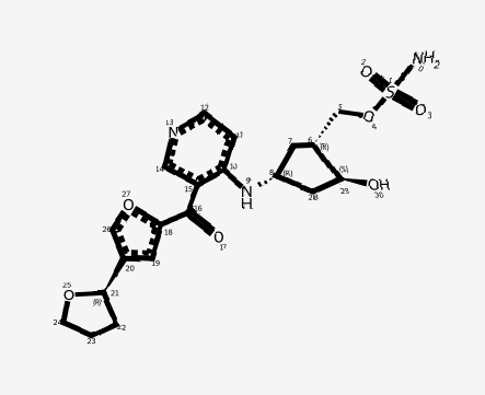 NS(=O)(=O)OC[C@H]1C[C@@H](Nc2ccncc2C(=O)c2cc([C@H]3CCCO3)co2)C[C@@H]1O